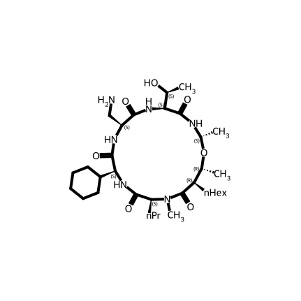 CCCCCC[C@H]1C(=O)N(C)[C@@H](CCC)C(=O)N[C@@H](C2CCCCC2)C(=O)N[C@@H](CN)C(=O)N[C@@H]([C@H](C)O)C(=O)N[C@H](C)O[C@@H]1C